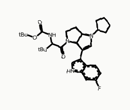 CC(C)(C)OC(=O)NC(C(=O)N1CCC2C1C(c1c[nH]c3cc(F)ccc13)=CN2C1CCCC1)C(C)(C)C